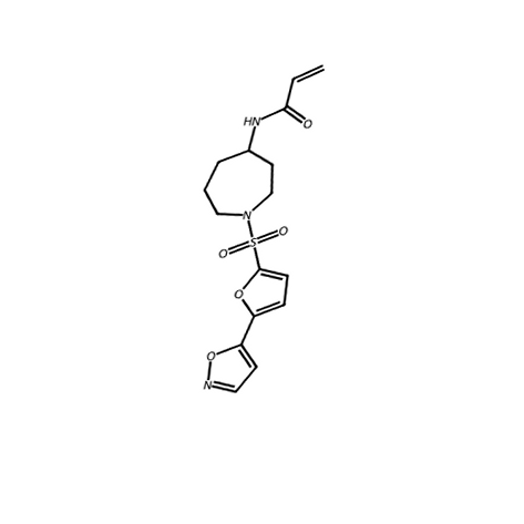 C=CC(=O)NC1CCCN(S(=O)(=O)c2ccc(-c3ccno3)o2)CC1